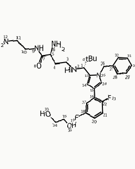 CC(C)(C)[C@@H](NCC[C@H](N)C(=O)NCCN)c1cc(-c2cc(F)ccc2F)cn1Cc1ccccc1.OCCO